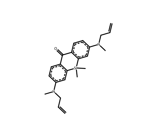 C=CCN(C)c1ccc2c(c1)[Si](C)(C)c1cc(N(C)CC=C)ccc1C2=O